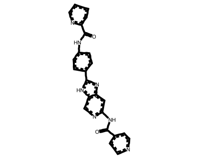 O=C(Nc1cc2nc(-c3ccc(NC(=O)c4ccccn4)cc3)[nH]c2cn1)c1ccncc1